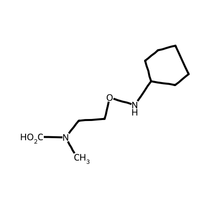 CN(CCONC1CCCCC1)C(=O)O